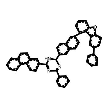 c1ccc(C2=NC(c3ccc4cc(-c5cccc6oc7ccc(-c8ccccc8)cc7c56)ccc4c3)NC(c3ccc4c(ccc5ccccc54)c3)=N2)cc1